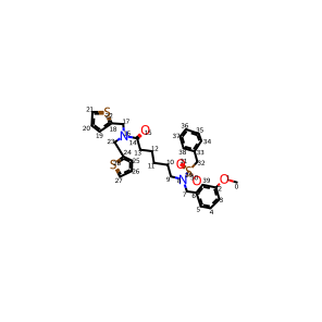 COc1cccc(CN(CCCCCC(=O)N(Cc2cccs2)Cc2cccs2)S(=O)(=O)Cc2ccccc2)c1